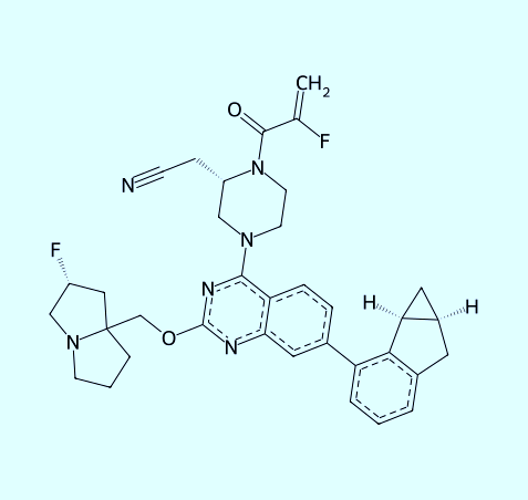 C=C(F)C(=O)N1CCN(c2nc(OCC34CCCN3C[C@H](F)C4)nc3cc(-c4cccc5c4[C@H]4C[C@H]4C5)ccc23)C[C@@H]1CC#N